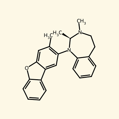 Cc1cc2oc3ccccc3c2cc1N1c2ccccc2CCN(C)[C@@H]1C